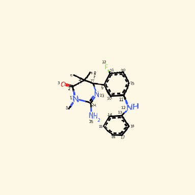 CN1C(=O)C(C)(C)[C@@](C)(c2cc(Nc3ccccc3)ccc2F)N=C1N